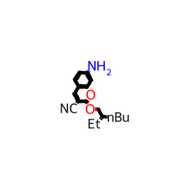 CCCCC(CC)COC(=O)/C(C#N)=C\c1ccc(N)cc1